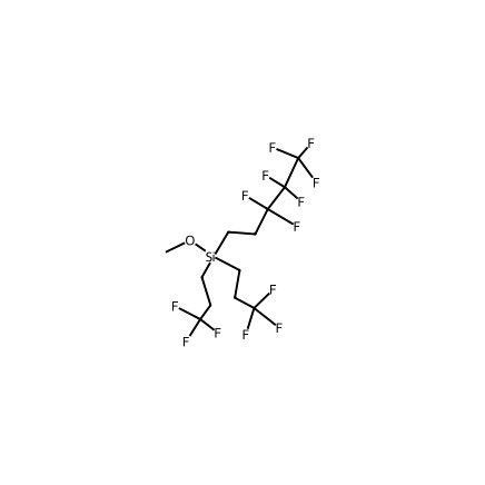 CO[Si](CCC(F)(F)F)(CCC(F)(F)F)CCC(F)(F)C(F)(F)C(F)(F)F